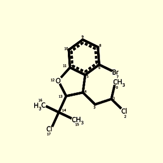 CC(Cl)CC1c2c(Br)cccc2OC1C(C)(C)Cl